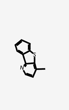 Cc1ccnc2c1sc1ccccc12